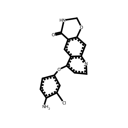 Nc1ccc(Oc2ccnc3cc4c(cc23)C(=O)NCO4)cc1Cl